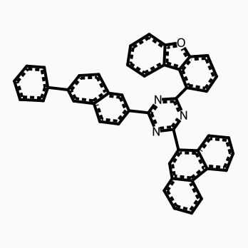 c1ccc(-c2ccc3cc(-c4nc(-c5cc6ccccc6c6ccccc56)nc(-c5cccc6oc7ccccc7c56)n4)ccc3c2)cc1